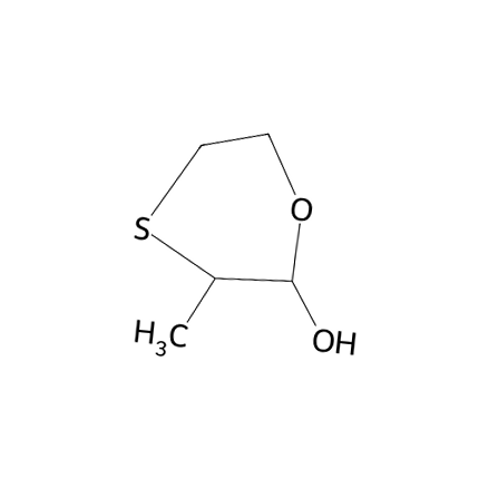 CC1SCCOC1O